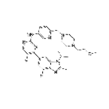 COCCN1CCN(Cc2ccc(Nc3ncc(F)c(-c4cc(F)c5nc(C)n(C(C)C)c5c4)n3)cn2)CC1